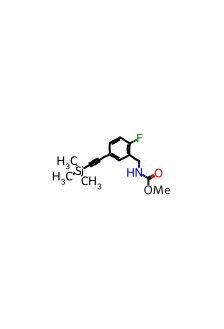 COC(=O)NCc1cc(C#C[Si](C)(C)C)ccc1F